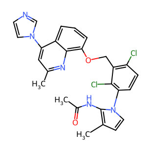 CC(=O)Nc1c(C)ccn1-c1ccc(Cl)c(COc2cccc3c(-n4ccnc4)cc(C)nc23)c1Cl